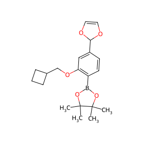 CC1(C)OB(c2ccc(C3OC=CO3)cc2OCC2CCC2)OC1(C)C